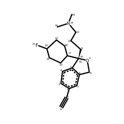 C#Cc1ccc2c(c1)CO[C@@]2(CCCN(C)C)C1CCC(F)CC1